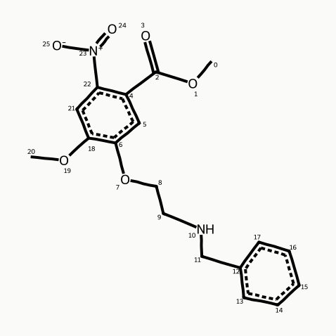 COC(=O)c1cc(OCCNCc2ccccc2)c(OC)cc1[N+](=O)[O-]